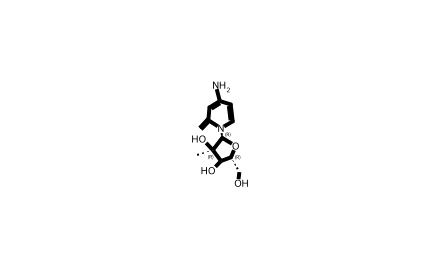 C=C1C=C(N)C=CN1[C@@H]1O[C@H](CO)C(O)[C@@]1(C)O